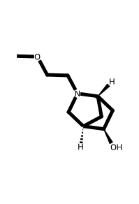 COCCN1C[C@H]2C[C@H]1C[C@H]2O